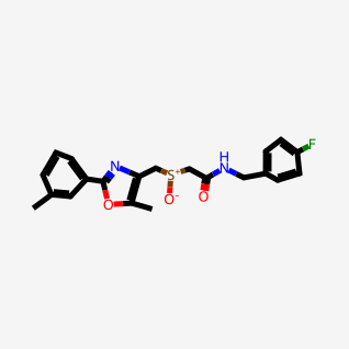 Cc1cccc(-c2nc(C[S+]([O-])CC(=O)NCc3ccc(F)cc3)c(C)o2)c1